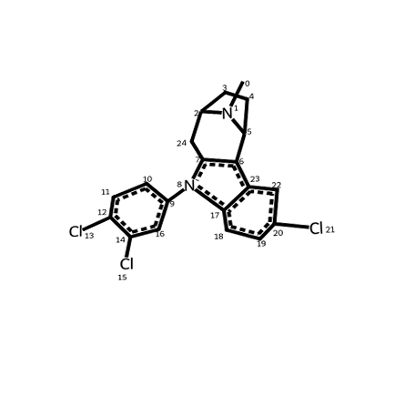 CN1C2CCC1c1c(n(-c3ccc(Cl)c(Cl)c3)c3ccc(Cl)cc13)C2